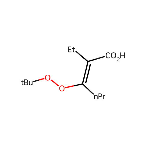 CCCC(OOC(C)(C)C)=C(CC)C(=O)O